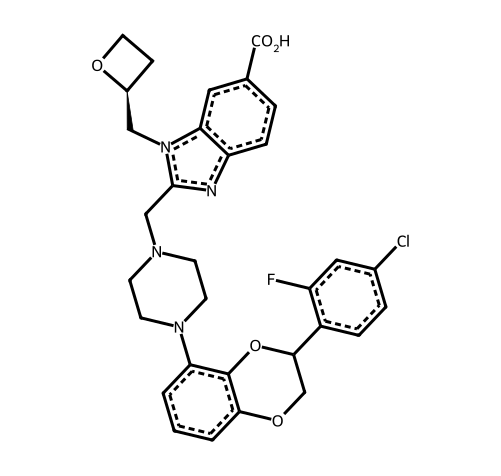 O=C(O)c1ccc2nc(CN3CCN(c4cccc5c4OC(c4ccc(Cl)cc4F)CO5)CC3)n(C[C@@H]3CCO3)c2c1